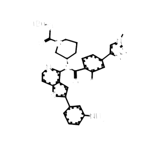 Cn1cc(-c2ccc(C(=O)N(c3nccc4sc(-c5cccc(N)c5)cc34)[C@@H]3CCCN(C(=O)OC(C)(C)C)C3)c(F)c2)nn1